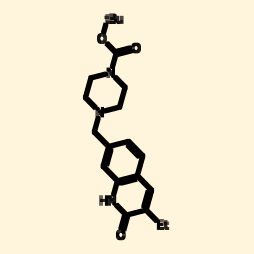 CCc1cc2ccc(CN3CCN(C(=O)OC(C)(C)C)CC3)cc2[nH]c1=O